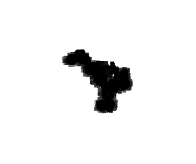 C[Si]1(C)c2cc(-c3ccc4oc5ccccc5c4c3)ccc2-c2ccc(-n3c4ccc(-c5cccc6ccccc56)cc4c4cc(-c5cccc6ccccc56)ccc43)cc21